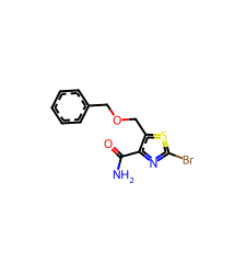 NC(=O)c1nc(Br)sc1COCc1ccccc1